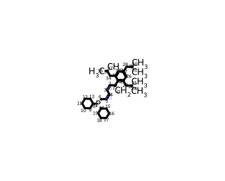 C=C(/C=C\C=C/CP(C1CCCCC1)C1CCCCC1)c1c(CC(C)C)cc(CC(C)C)cc1CC(C)C